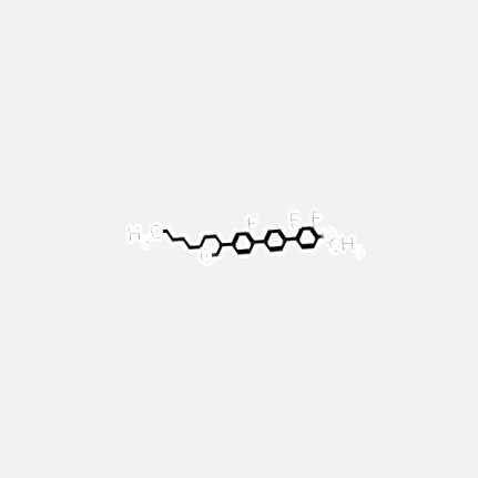 CCCCCC1CCC(c2ccc(-c3ccc(-c4ccc(OC)c(F)c4F)cc3)c(F)c2)CO1